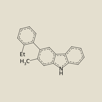 CCc1ccccc1-c1cc2c(cc1C)[nH]c1ccccc12